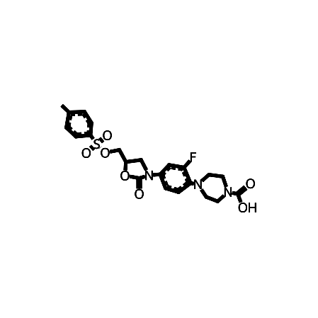 Cc1ccc(S(=O)(=O)OCC2CN(c3ccc(N4CCN(C(=O)O)CC4)c(F)c3)C(=O)O2)cc1